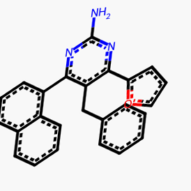 Nc1nc(-c2ccco2)c(Cc2ccccc2)c(-c2cccc3ccccc23)n1